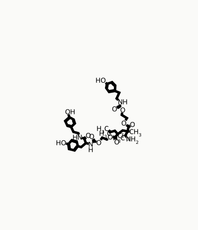 CC(C)CC(C)(CC(C)(C(=O)OCCOC(=O)NCCc1ccc(O)cc1)C(C)N)C(=O)OCCOC(=O)NC(Cc1ccc(O)cc1)C(=O)NCCc1ccc(O)cc1